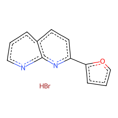 Br.c1coc(-c2ccc3cccnc3n2)c1